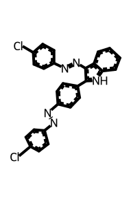 Clc1ccc(/N=N/c2ccc(-c3[nH]c4ccccc4c3/N=N/c3ccc(Cl)cc3)cc2)cc1